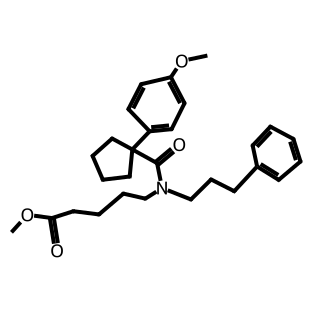 COC(=O)CCCCN(CCCc1ccccc1)C(=O)C1(c2ccc(OC)cc2)CCCC1